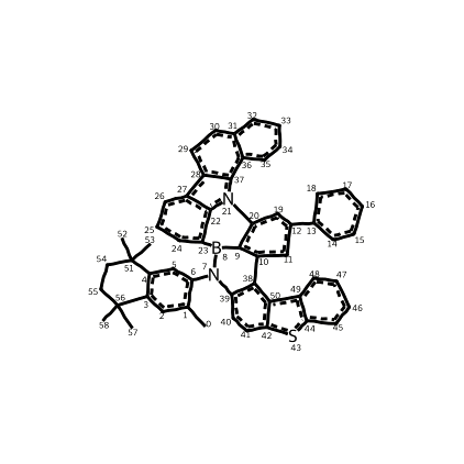 Cc1cc2c(cc1N1B3c4c(cc(-c5ccccc5)cc4-n4c5c3cccc5c3ccc5ccccc5c34)-c3c1ccc1sc4ccccc4c31)C(C)(C)CCC2(C)C